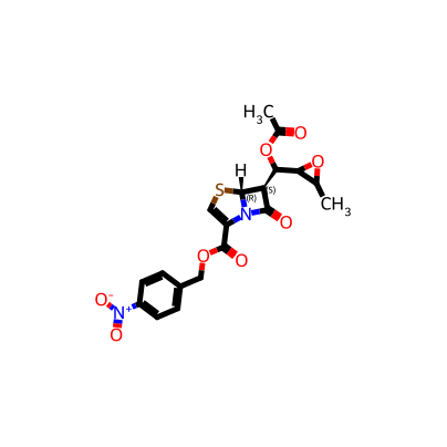 CC(=O)OC(C1OC1C)[C@H]1C(=O)N2C(C(=O)OCc3ccc([N+](=O)[O-])cc3)=CS[C@H]12